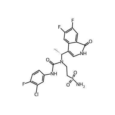 C[C@H](c1c[nH]c(=O)c2cc(F)c(F)cc12)N(CCS(N)(=O)=O)C(=O)Nc1ccc(F)c(Cl)c1